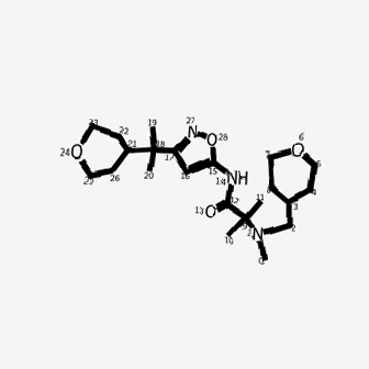 CN(CC1CCOCC1)C(C)(C)C(=O)Nc1cc(C(C)(C)C2CCOCC2)no1